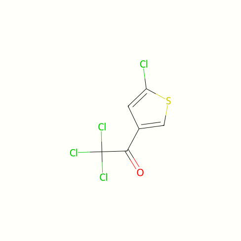 O=C(c1csc(Cl)c1)C(Cl)(Cl)Cl